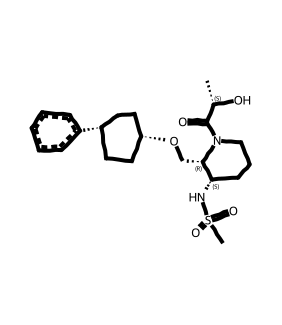 C[C@H](O)C(=O)N1CCC[C@H](NS(C)(=O)=O)[C@@H]1CO[C@H]1CC[C@@H](c2ccccc2)CC1